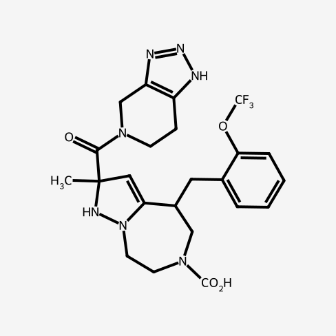 CC1(C(=O)N2CCc3[nH]nnc3C2)C=C2C(Cc3ccccc3OC(F)(F)F)CN(C(=O)O)CCN2N1